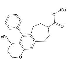 CCCN1CCOc2cc3c(c(-c4ccccc4)c21)CCN(C(=O)OC(C)(C)C)CC3